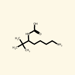 CC(C)(C)C(CCCCN)NC(=O)O